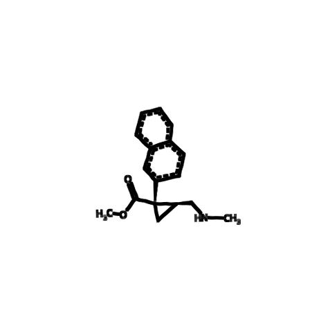 CNC[C@H]1C[C@@]1(C(=O)OC)c1ccc2ccccc2c1